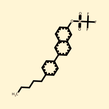 CCCCCc1ccc(-c2ccc3cc(OS(=O)(=O)C(F)(F)F)ccc3c2)cc1